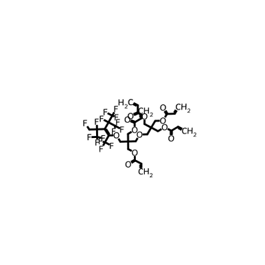 C=CC(=O)OCC(COCC(COC(=O)C=C)(COC(=O)C=C)CO/C(=C(/C(F)(CF)C(F)(F)F)C(F)(C(F)(F)F)C(F)(F)F)C(F)(F)F)(COC(=O)C=C)COC(=O)C=C